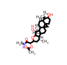 BNC(=O)[C@@H](OC(C)=O)C1C[C@@H](C)[C@H]2C(O1)[C@H](O)[C@@]1(C)C3CC[C@H]4C(C)(C)C(O)CCC45CC35CCC21C